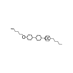 C=CCCCCOc1ccc(-c2ccc(C34CCC(CCCCC)(CC3)CC4)cc2)cc1